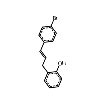 Oc1ccccc1C/C=C/c1ccc(Br)cc1